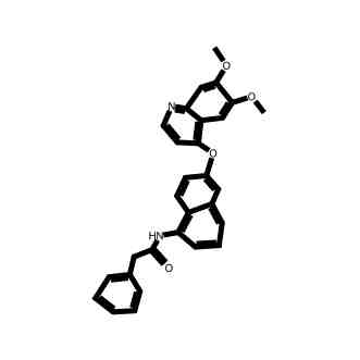 COc1cc2nccc(Oc3ccc4c(NC(=O)Cc5ccccc5)cccc4c3)c2cc1OC